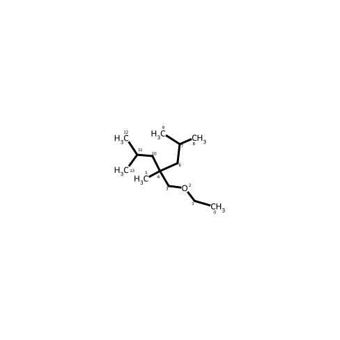 CCOCC(C)(CC(C)C)CC(C)C